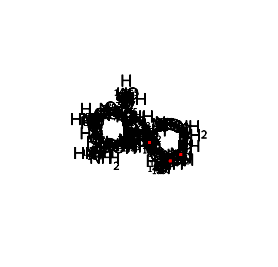 CC(O)[C@H]1NC(=O)[C@@H](Cc2c[nH]cn2)NC(=O)CNC(=O)[C@@H](N)CCCCn2cc(nn2)C[C@@H](C(=O)N[C@@H](CCCCNC(=O)CCCC[C@@H]2SC[C@@H]3NC(=O)N[C@@H]32)C(=O)NCC(=O)N[C@H]2CCCCn3cc(nn3)C[C@@H](C(N)=O)NC(=O)[C@@H](Cc3c[nH]cn3)NC(=O)CNC(=O)[C@@H](CCCNC(=N)N)NC(=O)CNC(=O)[C@@H](Cc3c[nH]cn3)NC2=O)NC(=O)[C@H]2CCCN2C(=O)[C@@H](Cc2c[nH]c3ccccc23)NC1=O